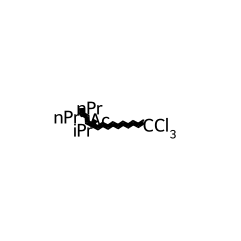 CCCC(CCC)CCC(CCCCCCCCCCC(Cl)(Cl)Cl)(C(C)=O)C(C)C